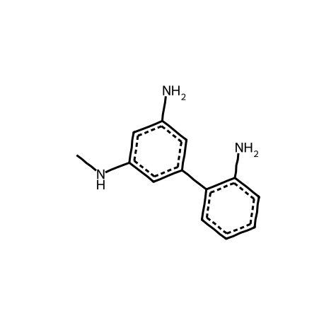 CNc1cc(N)cc(-c2ccccc2N)c1